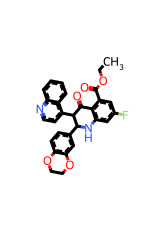 CCOC(=O)c1cc(F)cc2c1C(=O)C(c1ccnc3ccccc13)C(c1ccc3c(c1)OCCO3)N2